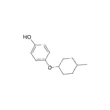 CC1CCC(Oc2ccc(O)cc2)CC1